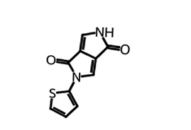 O=C1NC=C2C(=O)N(c3cccs3)C=C12